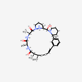 CO[C@@H]1CC/C=C/c2cccc(c2)[C@@H]2CCCCN2C(O)[C@@H]2CCCN(N2)C(=O)[C@H](C)NC(=O)[C@H](C(C)C)NC(=O)[C@@H]1C